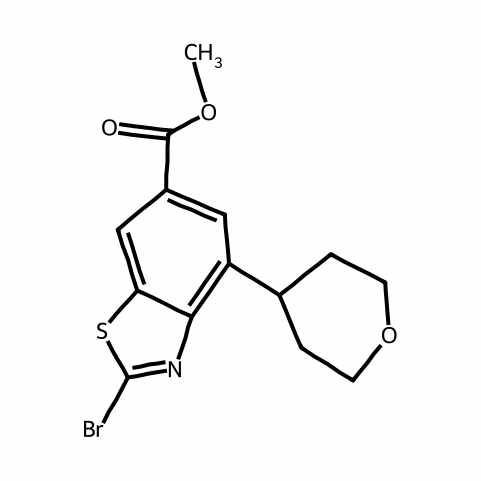 COC(=O)c1cc(C2CCOCC2)c2nc(Br)sc2c1